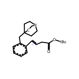 CC(C)(C)OC(=O)C/C=C/c1c[c]ccc1CC12CCN(CC1)CC2